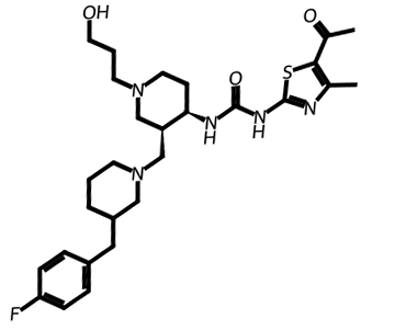 CC(=O)c1sc(NC(=O)N[C@@H]2CCN(CCCO)C[C@@H]2CN2CCCC(Cc3ccc(F)cc3)C2)nc1C